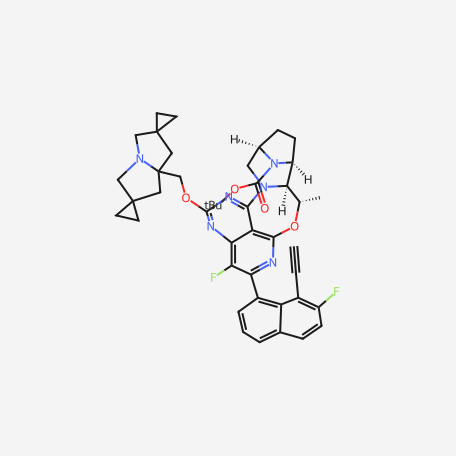 C#Cc1c(F)ccc2cccc(-c3nc4c5c(nc(OCC67CC8(CC8)CN6CC6(CC6)C7)nc5c3F)N3C[C@H]5CC[C@@H]([C@H]3[C@H](C)O4)N5C(=O)OC(C)(C)C)c12